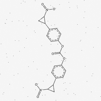 O=C(Oc1ccc(C2CC2[N+](=O)[O-])cc1)Oc1ccc(C2CC2[N+](=O)[O-])cc1